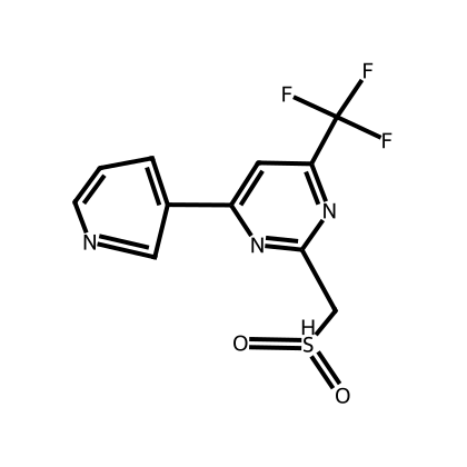 O=[SH](=O)Cc1nc(-c2cccnc2)cc(C(F)(F)F)n1